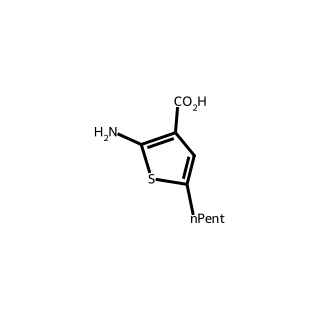 CCCCCc1cc(C(=O)O)c(N)s1